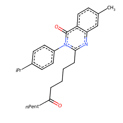 CCCCCC(=O)CCCCc1nc2cc(C)ccc2c(=O)n1-c1ccc(C(C)C)cc1